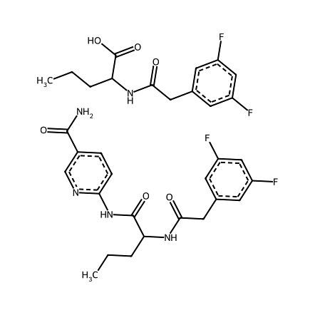 CCCC(NC(=O)Cc1cc(F)cc(F)c1)C(=O)Nc1ccc(C(N)=O)cn1.CCCC(NC(=O)Cc1cc(F)cc(F)c1)C(=O)O